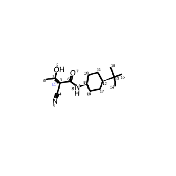 C/C(O)=C(\C#N)C(=O)N[C@H]1CC[C@@H](C(C)(C)C)CC1